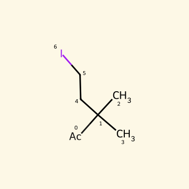 CC(=O)C(C)(C)CCI